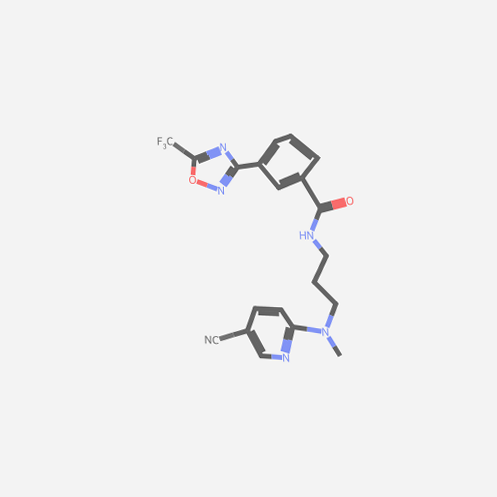 CN(CCCNC(=O)c1cccc(-c2noc(C(F)(F)F)n2)c1)c1ccc(C#N)cn1